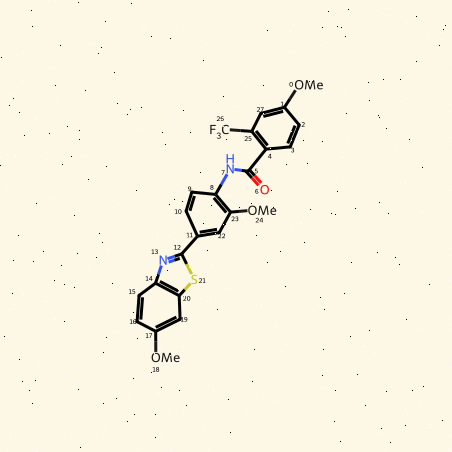 COc1ccc(C(=O)Nc2ccc(-c3nc4ccc(OC)cc4s3)cc2OC)c(C(F)(F)F)c1